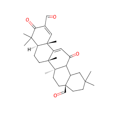 CC1(C)CC[C@]2(C=O)CC[C@]3(C)C(C(=O)C=C4[C@@]5(C)C=C(C=O)C(=O)C(C)(C)[C@@H]5CC[C@]43C)C2C1